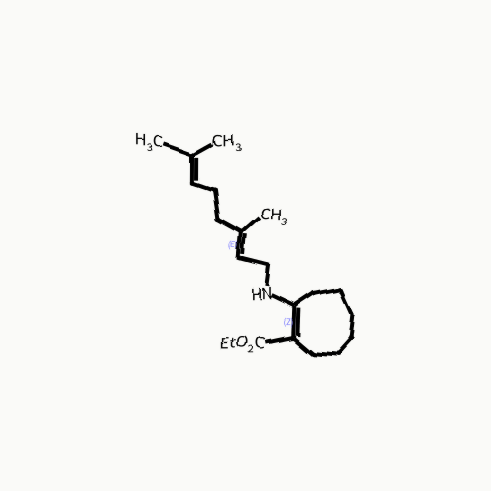 CCOC(=O)/C1=C(\NC/C=C(\C)CCC=C(C)C)CCCCCC1